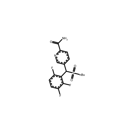 CCCCS(=O)(=O)C(c1ccc(C(N)=O)nc1)c1c(F)ccc(F)c1F